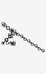 COCCOCCOCCOCCOCCOCCOCCOCCOc1nn(C2CCC(N3C[C@@H](C)O[C@@H](C)C3)CC2)cc1Nc1ncc(-c2ccc(C#N)c(O[C@@H](C)Cn3cnnn3)c2)cn1